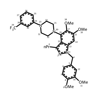 CCCc1nn(Cc2ccc(OC)c(OC)c2)c2cc(OC)c(OC)c(N3CCN(c4cccc(C(F)(F)F)c4)CC3)c12